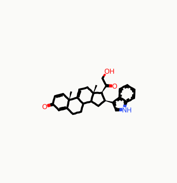 C[C@]12C=CC(=O)C=C1CCC1C2=CC[C@@]2(C)C1C[C@H](c1c[nH]c3ccccc13)[C@@H]2C(=O)CO